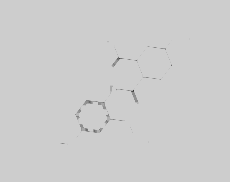 COc1ccc(NC(=O)C2CCC(C)CC2C(=O)O)c(OC)c1